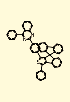 c1ccc(-c2sc(-c3ccc(-c4nc(-c5ccccc5)c5ccccc5n4)cc3)c3c2-c2ccccc2C32c3ccccc3-c3ccccc32)cc1